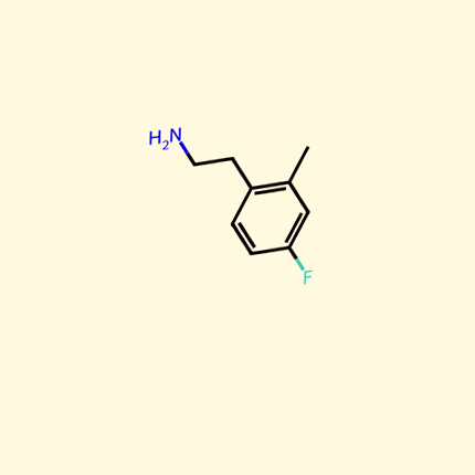 Cc1cc(F)ccc1CCN